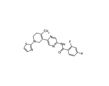 CC1=C(c2cnc(NC(=O)c3ccc(F)cc3F)cn2)CN(c2nccs2)CC1